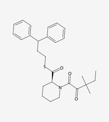 CCC(C)(C)C(=O)C(=O)N1CCCC[C@H]1C(=O)SCCC(c1ccccc1)c1ccccc1